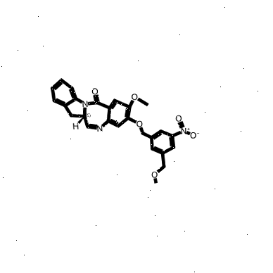 COCc1cc(COc2cc3c(cc2OC)C(=O)N2c4ccccc4C[C@H]2C=N3)cc([N+](=O)[O-])c1